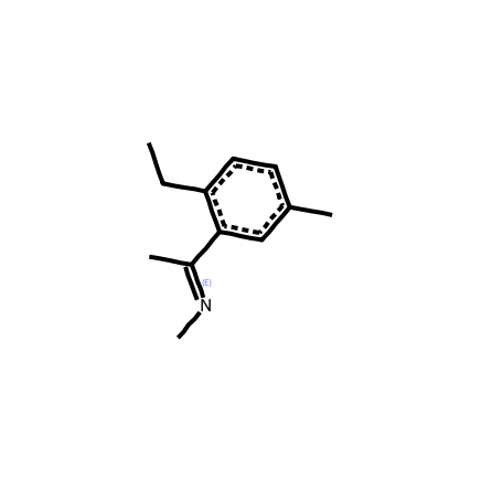 CCc1ccc(C)cc1/C(C)=N/C